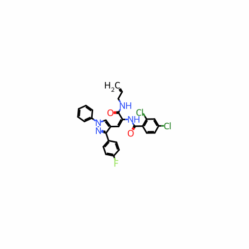 C=CCNC(=O)/C(=C\c1cn(-c2ccccc2)nc1-c1ccc(F)cc1)NC(=O)c1ccc(Cl)cc1Cl